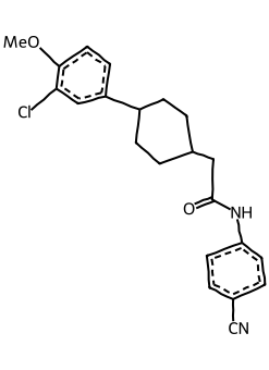 COc1ccc(C2CCC(CC(=O)Nc3ccc(C#N)cc3)CC2)cc1Cl